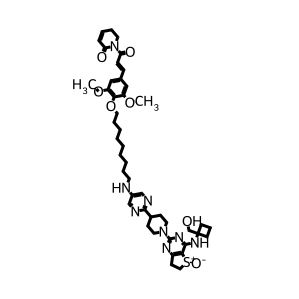 COc1cc(/C=C/C(=O)N2CCC=CC2=O)cc(OC)c1OCCCCCCCCCNc1cnc(C2CCN(c3nc4c(c(NC5(CO)CCC5)n3)[S@+]([O-])CC4)CC2)nc1